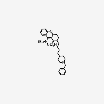 CC(C)(C)N(C(=O)O)c1c2c(nc3ccccc13)CCC(CCCCC1CCN(Cc3ccccc3)CC1)C2=O